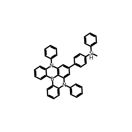 C[SiH](c1ccccc1)c1ccc(-c2cc3c4c(c2)N(c2ccccc2)c2ccccc2B4c2ccccc2N3c2ccccc2)cc1